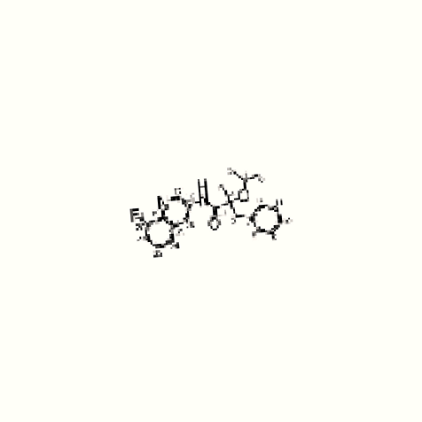 CC(C)OC(C)(Cc1ccccc1)C(=O)Nc1cnc2c(F)cccc2c1